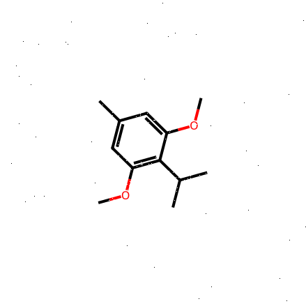 COc1cc(C)cc(OC)c1C(C)C